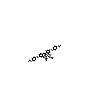 CCOc1ccc(N=Nc2ccc(C=Cc3ccc(N=Nc4ccc(OCC)cc4)cc3S(=O)(=O)N=[N+]=[N-])c(S(=O)(=O)N=[N+]=[N-])c2)cc1